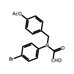 CC(=O)Oc1ccc(CN(C(=O)C=O)c2ccc(Br)cc2)cc1